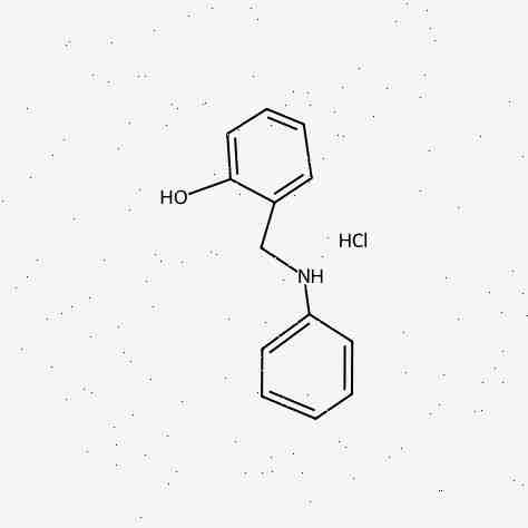 Cl.Oc1ccccc1CNc1ccccc1